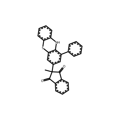 CC1(c2cc3c(c(-c4ccccc4)c2)Nc2ccccc2S3)C(=O)c2ccccc2C1=O